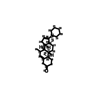 CC1C=C2CC(=O)CC[C@]2(C)[C@H]2CC[C@]3(C)C(N4CCCCC4)=CC[C@H]3[C@H]12